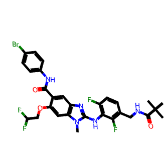 Cn1c(Nc2c(F)ccc(CNC(=O)C(C)(C)C)c2F)nc2cc(C(=O)Nc3ccc(Br)cc3)c(OCC(F)F)cc21